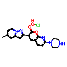 Cc1ccn2nc(-c3cc4ccc(N5CCNCC5)nc4oc3=O)cc2c1.OCl